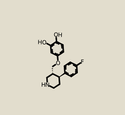 Oc1ccc(OC[C@H]2CNCC[C@@H]2c2ccc(F)cc2)cc1O